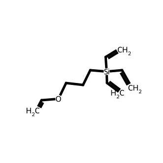 C=COCCC[Si](C=C)(C=C)C=C